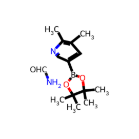 Cc1cc(B2OC(C)(C)C(C)(C)O2)cnc1C.NC=O